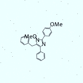 COc1ccc(-c2nc(-c3ccccc3)c(Cc3ccccc3)n2OC)cc1